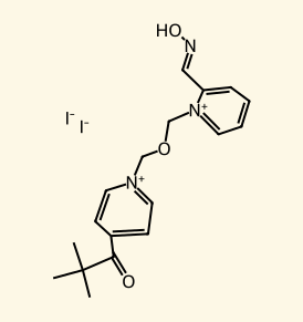 CC(C)(C)C(=O)c1cc[n+](COC[n+]2ccccc2C=NO)cc1.[I-].[I-]